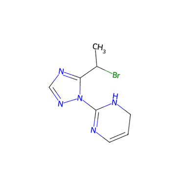 CC(Br)c1ncnn1C1=NC=CCN1